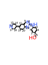 OCc1ccc(Nc2ncc3cc(-c4ccncc4)ccc3n2)cc1